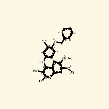 CCOc1cc2nc(CC)c(C#N)c(Oc3ccc(OCc4ccccn4)c(Cl)c3)c2cc1NC(C)=O